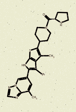 Cc1c(C2CCN(C(=O)[C@H]3CCCN3)CC2)sc2[nH]c(-c3cc(C)c4ncnn4c3)c(C(C)C)c12